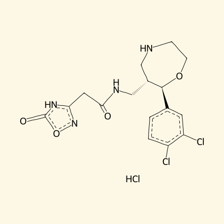 Cl.O=C(Cc1noc(=O)[nH]1)NC[C@@H]1CNCCO[C@H]1c1ccc(Cl)c(Cl)c1